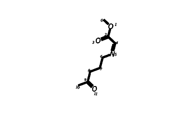 COC(=O)/C=N\CCCC(C)=O